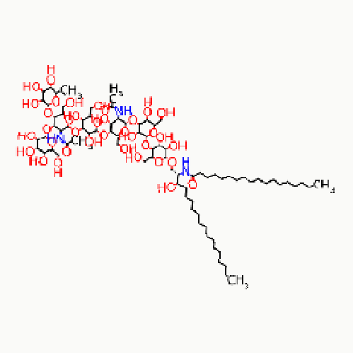 CCCCCCCCCCCCC/C=C/[C@@H](O)[C@H](CO[C@@H]1OC(CO)[C@@H](O[C@@H]2OC(CO)[C@H](O)[C@H](O[C@@H]3OC(CO)[C@@H](O[C@@H]4OC(CO)[C@H](O)[C@H](O[C@@H]5OC(CO)[C@@H](O[C@H]6OC(C)[C@@H](O)C(O)[C@@H]6O)[C@H](O[C@@H]6OC(CO)[C@H](O)[C@H](O)C6O)C5NC(C)=O)C4O)[C@H](O)C3NC(C)=O)C2O)[C@H](O)C1O)NC(=O)CCCCCCCCCCCCCCCCC